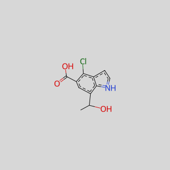 CC(O)c1cc(C(=O)O)c(Cl)c2cc[nH]c12